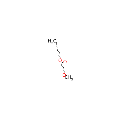 CCCCCCCCOC(=O)CCCCOC